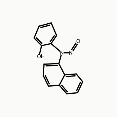 O=NN(c1ccccc1O)c1cccc2ccccc12